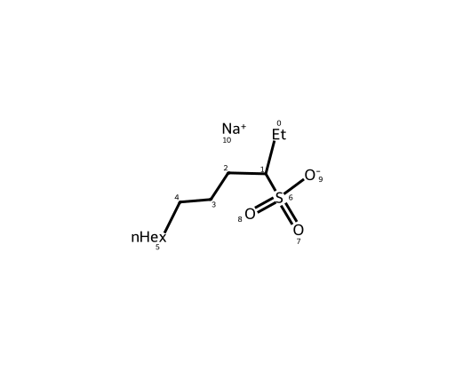 [CH2]CC(CCCCCCCCC)S(=O)(=O)[O-].[Na+]